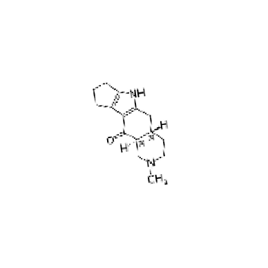 CN1CC[C@H]2Cc3[nH]c4c(c3C(=O)[C@@H]2C1)CCC4